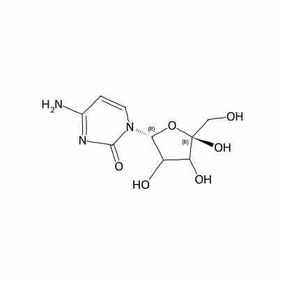 Nc1ccn([C@@H]2O[C@](O)(CO)C(O)C2O)c(=O)n1